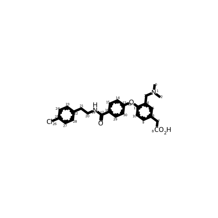 CN(C)Cc1cc(CC(=O)O)ccc1Oc1ccc(C(=O)NCCc2ccc(Cl)cc2)cc1